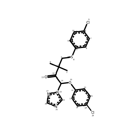 CC(C)(CSc1ccc(Cl)cc1)C(=O)C(Oc1ccc(Cl)cc1)n1cncn1